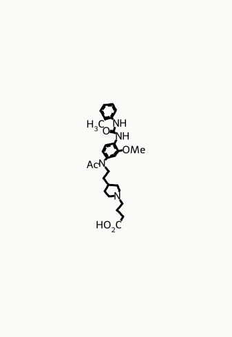 COc1cc(N(CCC2CCN(CCCC(=O)O)CC2)C(C)=O)ccc1NC(=O)Nc1ccccc1C